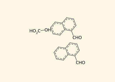 O=C(O)O.O=Cc1cccc2ccccc12.O=Cc1cccc2ccccc12